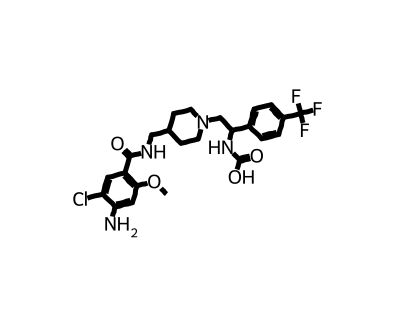 COc1cc(N)c(Cl)cc1C(=O)NCC1CCN(CC(NC(=O)O)c2ccc(C(F)(F)F)cc2)CC1